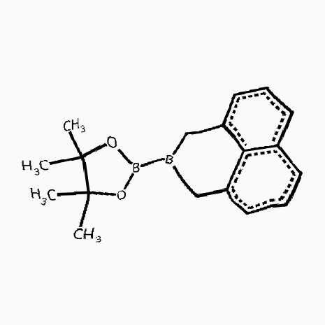 CC1(C)OB(B2Cc3cccc4cccc(c34)C2)OC1(C)C